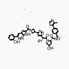 Cc1ncsc1-c1ccc([C@H](C)NC(=O)[C@@H]2C[C@@H](O)CN2C(=O)[C@@H](c2cc(C3CN(C(=O)c4cc5cc(-c6ccccc6O)nnc5[nH]4)C3)no2)C(C)C)cc1